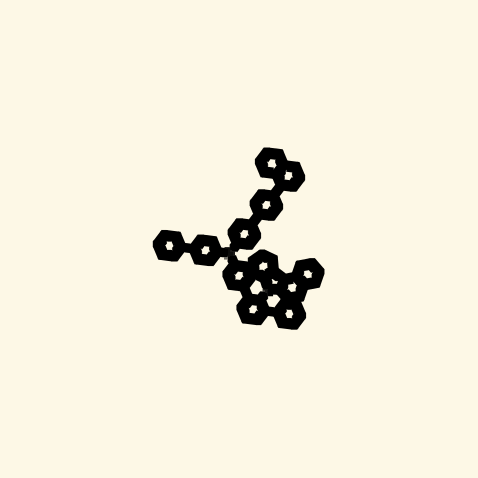 c1ccc(-c2ccc(N(c3ccc(-c4ccc(-c5cccc6ccccc56)cc4)cc3)c3ccc(-c4cccc(-c5ccccc5)c4-n4c5ccccc5c5c6ccccc6ccc54)cc3)cc2)cc1